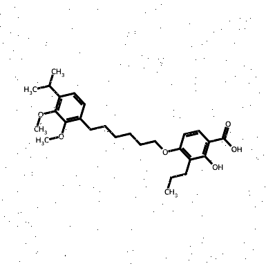 CCCc1c(OCCCCCCc2ccc(C(C)C)c(OC)c2OC)ccc(C(=O)O)c1O